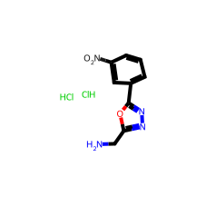 Cl.Cl.NCc1nnc(-c2cccc([N+](=O)[O-])c2)o1